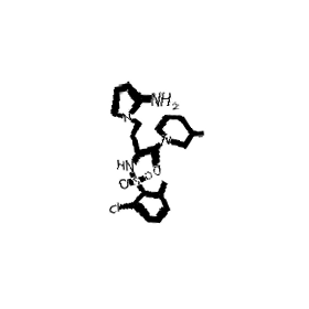 Cc1cccc(Cl)c1S(=O)(=O)NC(CCn1cccc1N)C(=O)N1CCCC(C)C1